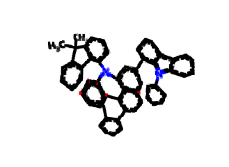 CC1(C)c2ccccc2-c2c(N(c3cccc(-c4cccc5c6ccccc6n(-c6ccccc6)c45)c3)c3ccccc3-c3ccccc3-c3ccccc3-c3ccccc3)cccc21